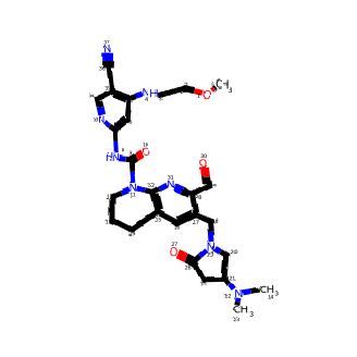 COCCNc1cc(NC(=O)N2CCCc3cc(CN4CC(N(C)C)CC4=O)c(C=O)nc32)ncc1C#N